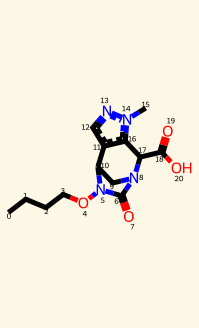 CCCCON1C(=O)N2CC1c1cnn(C)c1C2C(=O)O